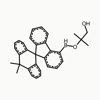 CC(C)(CO)OBc1cccc2c1-c1ccccc1C21c2ccccc2C(C)(C)c2ccccc21